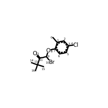 Cc1cc(Cl)ccc1OC(Br)C(=O)C(C)(C)C